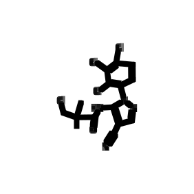 CC(C)(CCl)C(=O)Nc1c(C#N)cnn1-c1ccc(Cl)c(Cl)c1Cl